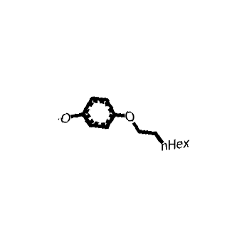 CCCCCCCCOc1ccc([O])cc1